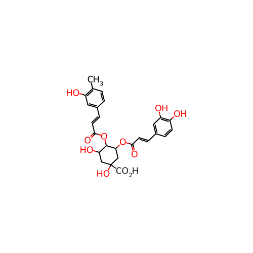 Cc1ccc(C=CC(=O)OC2C(O)CC(O)(C(=O)O)CC2OC(=O)C=Cc2ccc(O)c(O)c2)cc1O